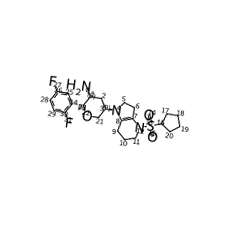 N[C@H]1C[C@@H](N2CCC3=C2CCCN3S(=O)(=O)C2CCCC2)CO[C@@H]1c1cc(F)ccc1F